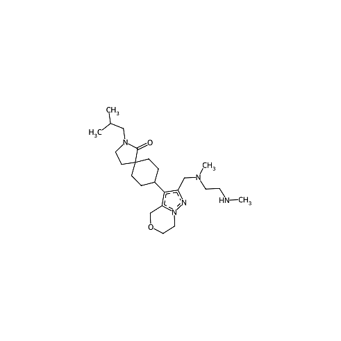 CNCCN(C)Cc1nn2c(c1C1CCC3(CC1)CCN(CC(C)C)C3=O)COCC2